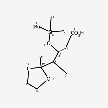 CC([C@@H](CC(=O)O)O[Si](C)(C)C(C)(C)C)C1(C)OCCO1